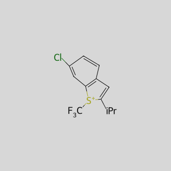 CC(C)c1cc2ccc(Cl)cc2[s+]1C(F)(F)F